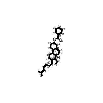 CC(C)=C/C=C\[C@@H](C)[C@H]1CC[C@H]2[C@@H]3CC=C4C[C@@H](OC(=O)c5ccccc5)CC[C@]4(C)C3CC[C@]12C